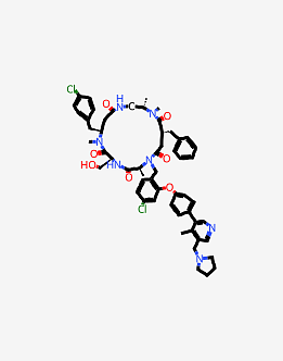 Cc1c(CN2CCCC2)cncc1-c1ccc(Oc2cc(Cl)ccc2CN2C(=O)C[C@@H](Cc3ccccc3)C(=O)N(C)[C@@H](C)CNC(=O)C[C@H](Cc3ccc(Cl)cc3)N(C)C(=O)[C@H](CO)NC(=O)[C@@H]2C)cc1